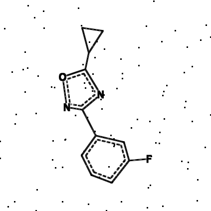 Fc1cccc(-c2noc(C3CC3)n2)c1